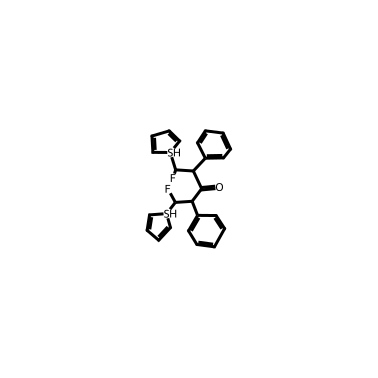 O=C(C(c1ccccc1)C(F)[SH]1C=CC=C1)C(c1ccccc1)C(F)[SH]1C=CC=C1